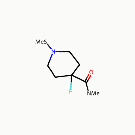 CNC(=O)C1(F)CCN(SC)CC1